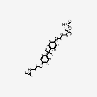 C[SiH](C)CCCOc1ccc(C(C)(C)c2ccc(OCCC[Si](C)(C)O[SiH]=O)cc2)cc1